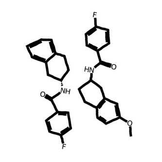 COc1ccc2c(c1)CC(NC(=O)c1ccc(F)cc1)CC2.O=C(N[C@H]1CCc2ccccc2C1)c1ccc(F)cc1